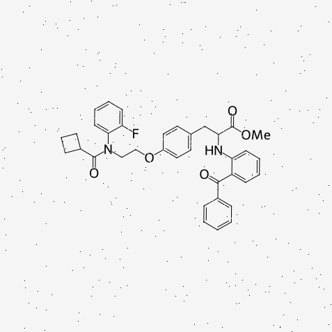 COC(=O)C(Cc1ccc(OCCN(C(=O)C2CCC2)c2ccccc2F)cc1)Nc1ccccc1C(=O)c1ccccc1